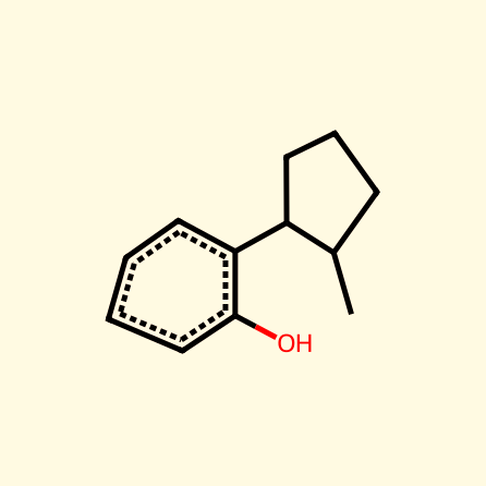 CC1CCCC1c1ccccc1O